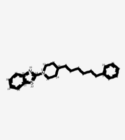 c1ccc(CCCCCCC2CCN(c3nc4ccccc4s3)CC2)cc1